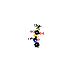 [C-]#[N+]C([N+]#[C-])=C1Sc2c(O)c3c(c(O)c2S1)SC(=C1C(=O)N(c2ccccc2)N=C1OCC)S3